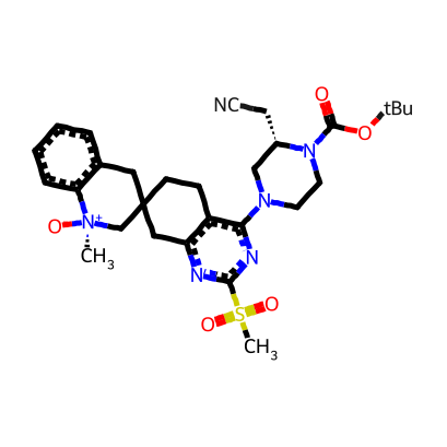 CC(C)(C)OC(=O)N1CCN(c2nc(S(C)(=O)=O)nc3c2CCC2(Cc4ccccc4[N@+](C)([O-])C2)C3)C[C@@H]1CC#N